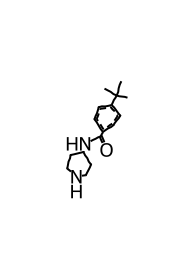 CC(C)(C)c1ccc(C(=O)NC2CCNCC2)cc1